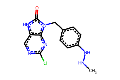 CNNc1ccc(Cn2c(=O)[nH]c3cnc(Cl)nc32)cc1